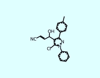 Cc1ccc(-c2nn(-c3ccccc3)c(Cl)c2C(O)C=CC#N)cc1